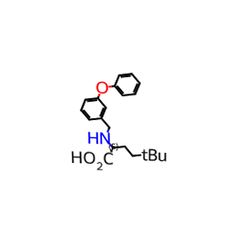 CC(C)(C)CC[C@H](NCc1cccc(Oc2ccccc2)c1)C(=O)O